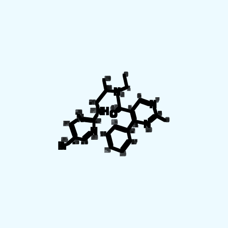 CCN(C(=O)c1cnc(C)nc1-c1ccccc1)C(C)CNc1ncc(Br)cn1